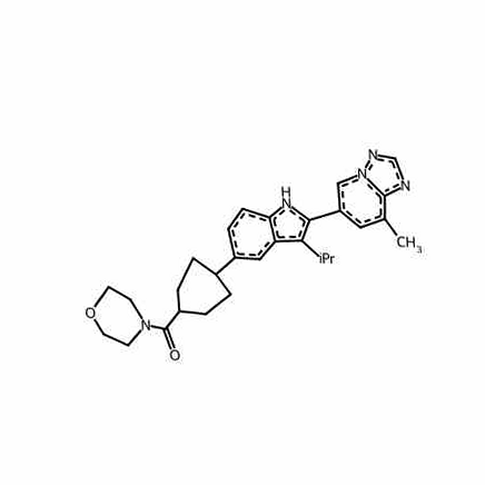 Cc1cc(-c2[nH]c3ccc(C4CCC(C(=O)N5CCOCC5)CC4)cc3c2C(C)C)cn2ncnc12